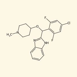 CN1CCC(OC(c2nc3ccccc3[nH]2)c2c(F)cc(Cl)cc2F)CC1